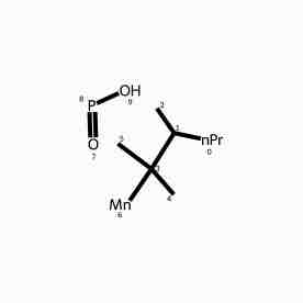 CCCC(C)[C](C)(C)[Mn].O=PO